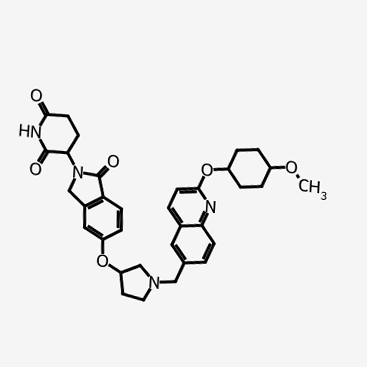 COC1CCC(Oc2ccc3cc(CN4CCC(Oc5ccc6c(c5)CN(C5CCC(=O)NC5=O)C6=O)C4)ccc3n2)CC1